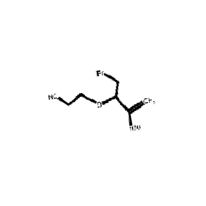 C=C(CCCC)C(CC(C)C)OCCC#N